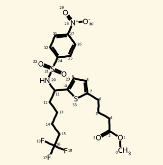 COC(=O)CCCc1ccc(C(CCCCC(F)(F)F)NS(=O)(=O)c2ccc([N+](=O)[O-])cc2)s1